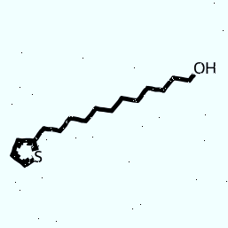 OCCCCCCCCCCCCc1cccs1